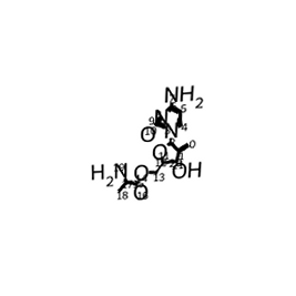 C=C1[C@H](n2ccc(N)nc2=O)O[C@H](COC(=O)C(C)N)[C@H]1O